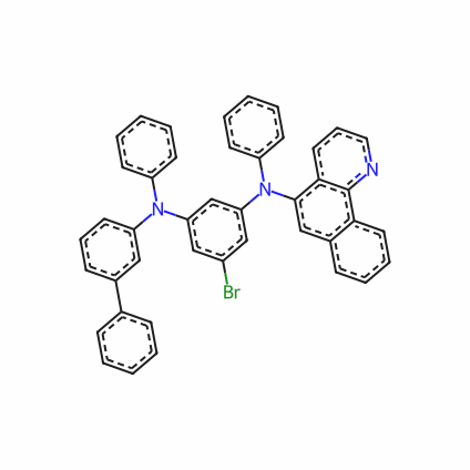 Brc1cc(N(c2ccccc2)c2cccc(-c3ccccc3)c2)cc(N(c2ccccc2)c2cc3ccccc3c3ncccc23)c1